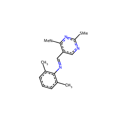 CNc1nc(SC)ncc1/C=N/c1c(C)cccc1C